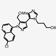 COCCCn1cncc1-c1cnn(-c2ccnc3cc(Cl)ccc23)c1COC